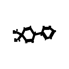 BrC1(Br)C=CC(c2ccccc2)C=C1